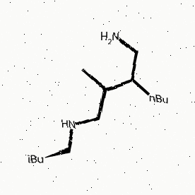 CCCCC(CN)C(C)CNC[C@H](C)CC